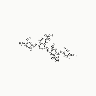 COc1cc(N=Nc2ccc(N=Nc3cc(S(=O)(=O)O)c(N=Nc4cc(C)c(N)cc4C)cc3OC)c3cc(S(=O)(=O)O)ccc23)c(C)cc1N